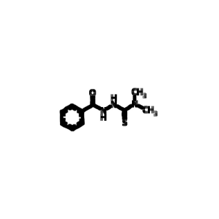 CN(C)C(=S)NNC(=O)c1ccccc1